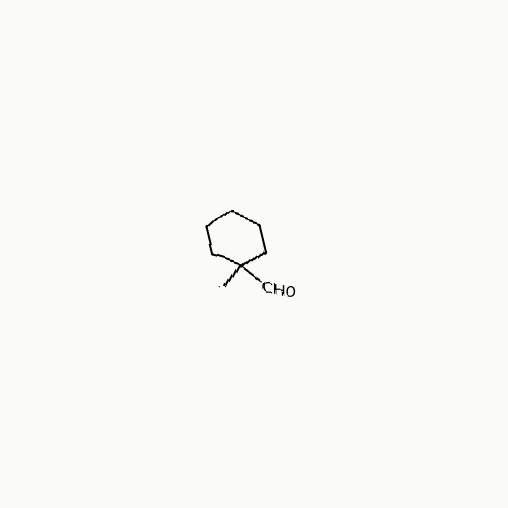 [CH2]C1(C=O)CCCCC1